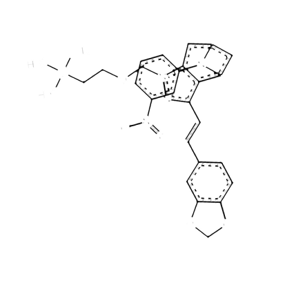 C[Si](C)(C)CCOCn1nc(C=Cc2ccc3c(c2)OCO3)c2c3cc(cc21)N3c1cccc([N+](=O)[O-])c1